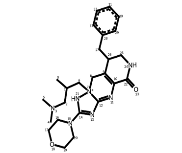 CC(CN(C)C)C[N+]12CC3=C(N=C1N=C(N1CCOCC1)N2)C(=O)NCC3Cc1ccccc1